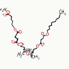 CCCCCCCCCOC(=O)CCC(=O)OCCC[Si](C)(C)O[Si](C)(C)CCCOC(=O)CCC(=O)OCCCCCC(=O)OC